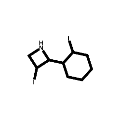 IC1CCCCC1C1NCC1I